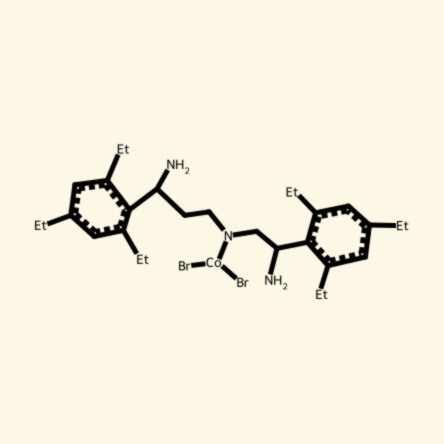 CCc1cc(CC)c(C(N)CC[N](CC(N)c2c(CC)cc(CC)cc2CC)[Co]([Br])[Br])c(CC)c1